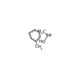 CCO.Cc1ccccc1.F